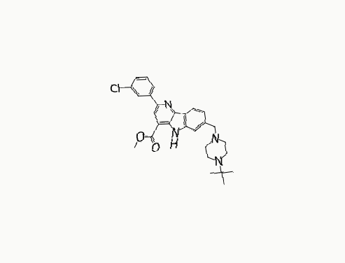 COC(=O)c1cc(-c2cccc(Cl)c2)nc2c1[nH]c1cc(CN3CCN(C(C)(C)C)CC3)ccc12